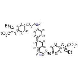 CCOC(=O)C(Cc1ccc(OC/C=C(/C)c2ccc(-c3ccc(/C(C)=C\COc4ccc(CC(OCC)C(=O)OCC)cc4)cc3)cc2)cc1)OCC